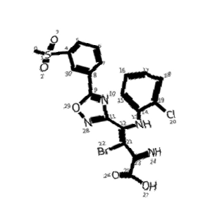 CS(=O)(=O)c1cccc(-c2nc(/C(Nc3ccccc3Cl)=C(\Br)C(=N)C(=O)O)no2)c1